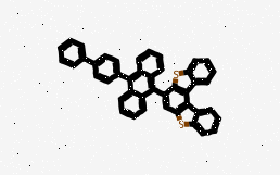 c1ccc(-c2ccc(-c3c4ccccc4c(-c4cc5sc6ccccc6c5c5c4sc4ccccc45)c4ccccc34)cc2)cc1